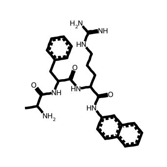 CC(N)C(=O)NC(Cc1ccccc1)C(=O)NC(CCCNC(=N)N)C(=O)Nc1ccc2ccccc2c1